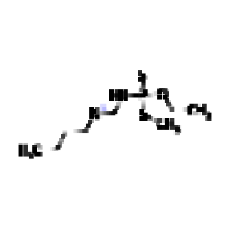 CCCC/N=C/NP(=S)(OCC)SC